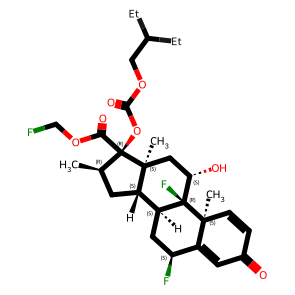 CCC(CC)COC(=O)O[C@]1(C(=O)OCF)[C@H](C)C[C@H]2[C@@H]3C[C@H](F)C4=CC(=O)C=C[C@]4(C)[C@@]3(F)[C@@H](O)C[C@@]21C